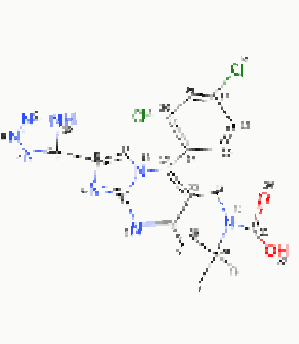 Cc1nc2nc(-c3nnn[nH]3)cn2c(-c2ccc(Cl)cc2Cl)c1CN(C(=O)O)C(C)(C)C